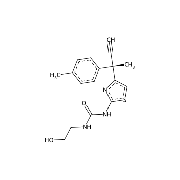 C#C[C@@](C)(c1ccc(C)cc1)c1csc(NC(=O)NCCO)n1